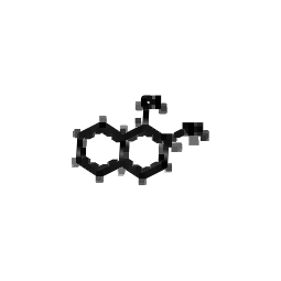 Cc1c2ccccc2cc[n+]1N